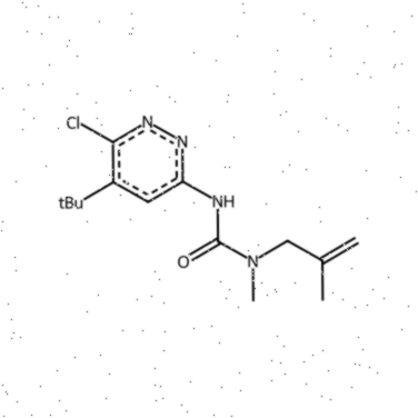 C=C(C)CN(C)C(=O)Nc1cc(C(C)(C)C)c(Cl)nn1